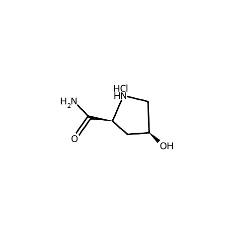 Cl.NC(=O)[C@@H]1C[C@H](O)CN1